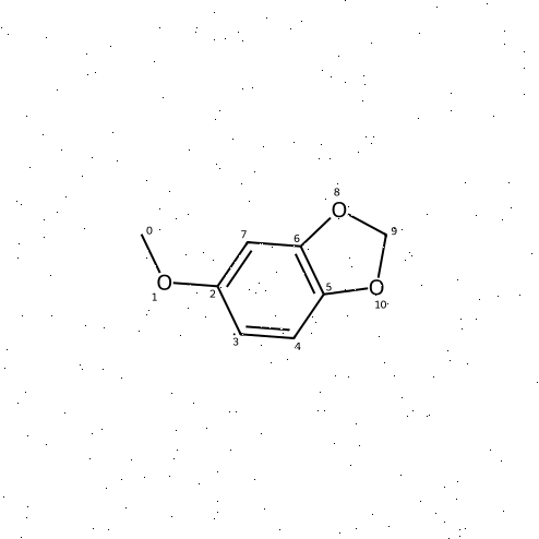 COc1[c]cc2c(c1)OCO2